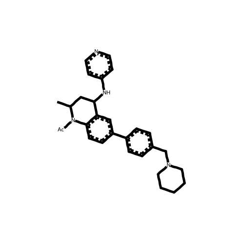 CC(=O)N1c2ccc(-c3ccc(CN4CCCCC4)cc3)cc2C(Nc2ccncc2)CC1C